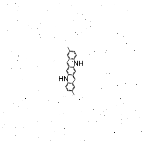 Cc1ccc2c(c1)C=c1cc3c(cc1N2)=Cc1cc(C)ccc1N3